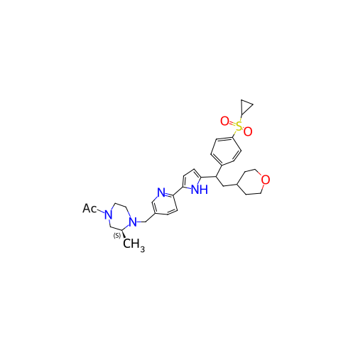 CC(=O)N1CCN(Cc2ccc(-c3ccc(C(CC4CCOCC4)c4ccc(S(=O)(=O)C5CC5)cc4)[nH]3)nc2)[C@@H](C)C1